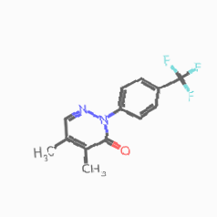 Cc1cnn(-c2ccc(C(F)(F)F)cc2)c(=O)c1C